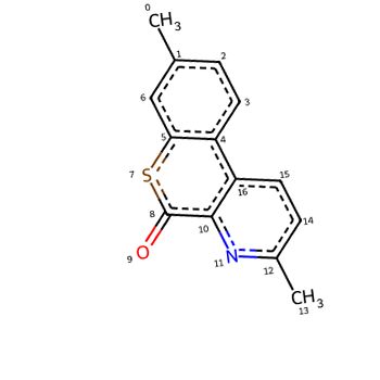 Cc1ccc2c(c1)sc(=O)c1nc(C)ccc12